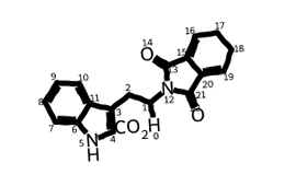 O=C(O)C(Cc1c[nH]c2ccccc12)N1C(=O)C2=CCCC=C2C1=O